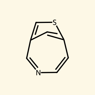 C1=Cc2cc(cs2)C=N1